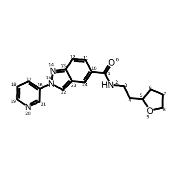 O=C(NCCC1CCCO1)c1ccc2nn(-c3cccnc3)cc2c1